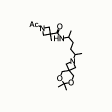 CC(=O)N1CC(C)(C(=O)NC(C)CCC(C)N2CC3(COC(C)(C)OC3)C2)C1